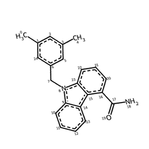 Cc1cc(C)cc(Cn2c3ccc[c]c3c3c(C(N)=O)cccc32)c1